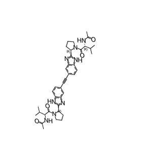 CC(=O)NC(C(=O)N1CCC[C@@H]1c1nc2cc(C#Cc3ccc4[nH]c([C@H]5CCCN5C(=O)[C@H](NC(C)=O)C(C)C)nc4c3)ccc2[nH]1)C(C)C